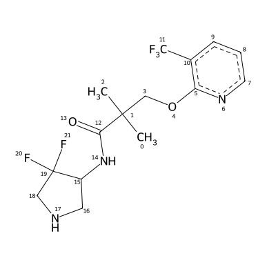 CC(C)(COc1ncccc1C(F)(F)F)C(=O)NC1CNCC1(F)F